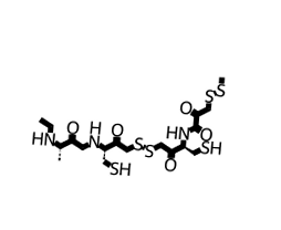 CCN[C@@H](C)C(=O)CN[C@@H](CS)C(=O)CSSCC(=O)[C@H](CS)NC(=O)C(=O)CSSC